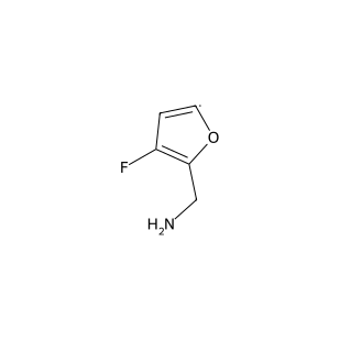 NCc1o[c]cc1F